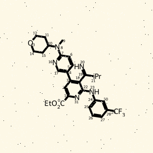 CCOC(=O)c1cc(-c2ccc(N(C)C3CCOCC3)nc2)c(C(=N)C(C)C)c(Nc2cccc(C(F)(F)F)c2)n1